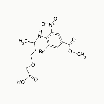 COC(=O)c1cc(Br)c(N[C@H](C)CCOCC(=O)O)c([N+](=O)[O-])c1